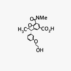 CNC(=O)c1cc(C(=O)O)cc2c1O[C@H](C)[C@H]2c1cccc(OCCO)c1